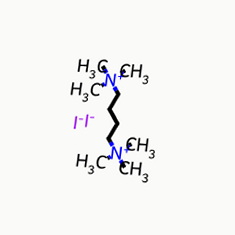 C[N+](C)(C)CCCC[N+](C)(C)C.[I-].[I-]